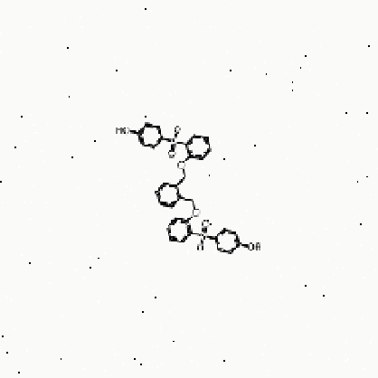 O=S(=O)(c1ccc(O)cc1)c1ccccc1OCc1ccccc1COc1ccccc1S(=O)(=O)c1ccc(O)cc1